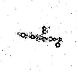 CC1(O)CCC(CNc2ccc(S(=O)(=O)NC(=O)c3cnc(N4CCC5(CC4)CC(N4CCCC4c4ccccc4)C5)cc3Oc3cnc4[nH]ccc4c3)cc2[N+](=O)[O-])CC1